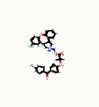 CC(C)(Oc1ccc(C(=O)c2ccc(Cl)cc2)cc1)C(=O)OC[N+]1(C)CC2c3ccccc3Oc3ccc(Cl)cc3C2C1